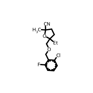 CCC1(COCc2c(F)cccc2Cl)CCC(C)(C#N)O1